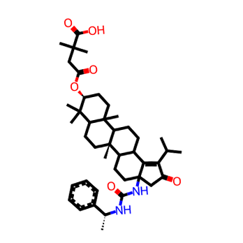 CC(C)C1=C2C3CCC4C5(C)CC[C@H](OC(=O)CC(C)(C)C(=O)O)C(C)(C)C5CC[C@@]4(C)C3CCC2(NC(=O)N[C@H](C)c2ccccc2)CC1=O